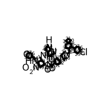 N=Cc1cc([S+]([O-])NC(=O)c2ccc(N3CCN(CC4=C(c5ccc(Cl)cc5)CC5(CCC5)CC4)CC3)cc2Oc2cnc3[nH]ccc3c2)cc([N+](=O)[O-])c1NCC1CCOCC1